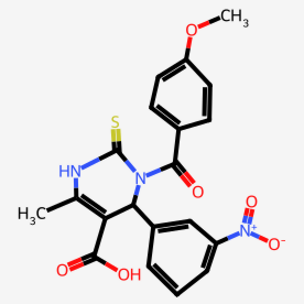 COc1ccc(C(=O)N2C(=S)NC(C)=C(C(=O)O)C2c2cccc([N+](=O)[O-])c2)cc1